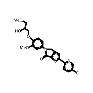 COCC(O)COc1ccc(N2Cc3cc(-c4ccc(Cl)cn4)sc3C2=O)cc1OC